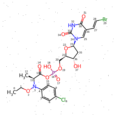 CCON(c1ccc(Cl)cc1)[C@@H](C)C(=O)OP(=O)(O)OC[C@H]1O[C@@H](n2cc(/C=C/Br)c(=O)[nH]c2=O)C[C@@H]1O